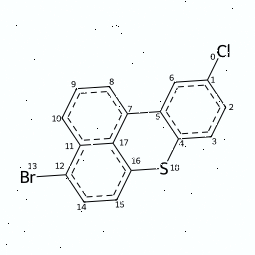 Clc1ccc2c(c1)-c1cccc3c(Br)ccc(c13)S2